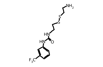 NCCSSCCNC(=O)Nc1cccc(C(F)(F)F)c1